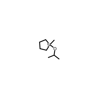 CC(C)O[Si]1(C)CCCC1